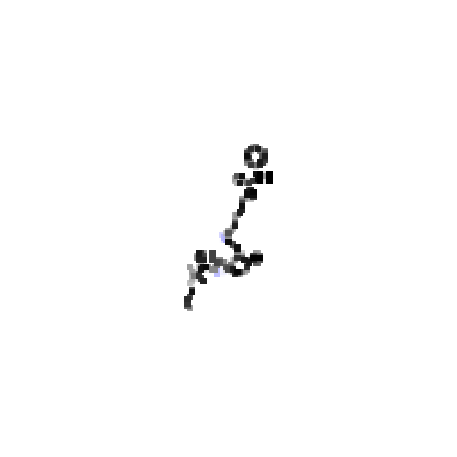 CCCCC(C)(C)[C@H](O)/C=C/[C@H]1C=CC(=O)[C@@H]1C/C=C\CCCCOC(=O)Nc1ccccc1